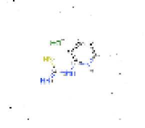 Cl.N=C(S)Nc1ccccn1